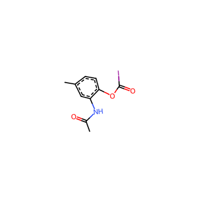 CC(=O)Nc1cc(C)ccc1OC(=O)I